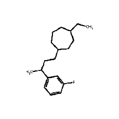 CCC1CCCC(CCC(C)c2cccc(F)c2)CC1